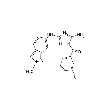 Cc1cccc(C(=O)n2nc(Nc3ccc4cn(C)nc4c3)nc2N)c1